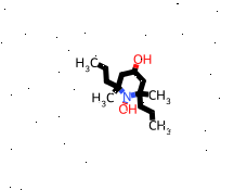 CCCC1(C)CC(O)CC(C)(CCC)N1O